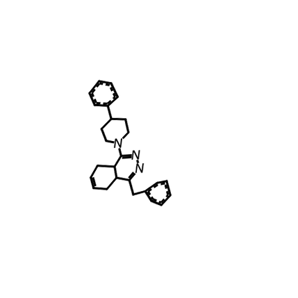 C1=CCC2C(N3CCC(c4ccccc4)CC3)=NN=C(Cc3ccccc3)C2C1